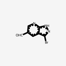 O=Cc1cnc2[nH]nc(Br)c2c1